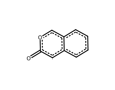 O=c1[c]c2ccccc2co1